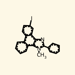 Cn1c(-c2ccccc2)nc2c3cc(I)ccc3c3ccccc3c21